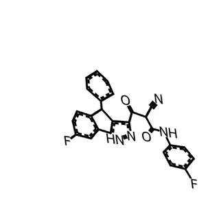 N#CC(C(=O)Nc1ccc(F)cc1)C(=O)c1n[nH]c2c1C(c1ccccc1)c1ccc(F)cc1-2